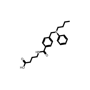 CCCCN(Cc1ccc(C(=O)NCCCC(=O)O)cc1)c1ccccc1